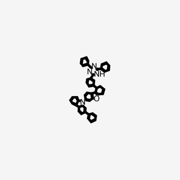 C1=Cc2oc3cc(N4c5ccccc5C5C=CC(c6ccccc6)=CC54)ccc3c2C(c2cccc(C3N=C(c4ccccc4)N=C(c4ccccc4)N3)c2)C1